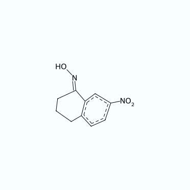 O=[N+]([O-])c1ccc2c(c1)C(=NO)CCC2